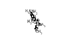 CCN(C(=O)NCC1CN(C)C1)C(=O)[C@@H]1C[C@@H]2Cc3c(sc(N)c3N)C[C@H]2N(C)C1